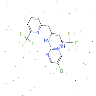 N=C(/C=C(/Cc1cccc(C(F)(F)F)n1)Nc1ncc(Cl)cn1)C(F)(F)F